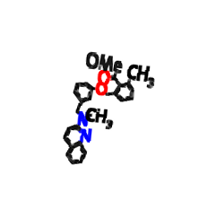 COC(=O)c1c(C)cccc1COc1cccc(CN(C)c2ccc3ccccc3n2)c1